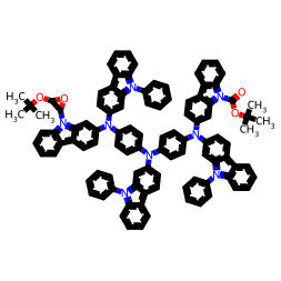 CC(C)(C)OC(=O)n1c2ccccc2c2ccc(N(c3ccc(N(c4ccc(N(c5ccc6c7ccccc7n(-c7ccccc7)c6c5)c5ccc6c7ccccc7n(C7OC7OC(C)(C)C)c6c5)cc4)c4ccc5c6ccccc6n(-c6ccccc6)c5c4)cc3)c3ccc4c5ccccc5n(-c5ccccc5)c4c3)cc21